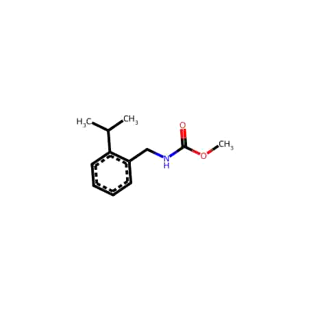 COC(=O)NCc1ccccc1C(C)C